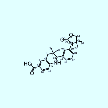 CC1(C)Cc2cc(C(=O)O)ccc2NC1c1cccc(N2C(=O)OCC2(C)C)c1